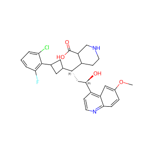 COc1ccc2nccc([C@H](O)C[C@H](C3CC(c4c(F)cccc4Cl)C3)C3CCNCC3C(=O)O)c2c1